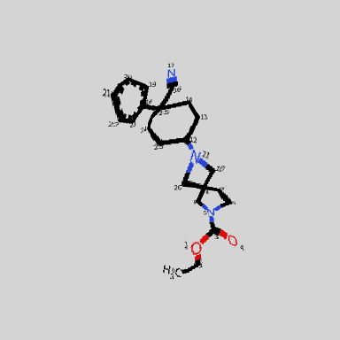 CCOC(=O)N1CCC2(C1)CN(C1CCC(C#N)(c3ccccc3)CC1)C2